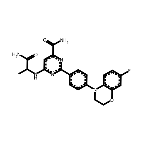 CC(Nc1cc(C(N)=O)nc(-c2ccc(N3CCOc4cc(F)ccc43)cc2)n1)C(N)=O